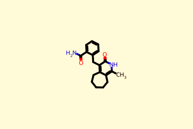 Cc1[nH]c(=O)c(Cc2ccccc2C(N)=O)c2c1CCCCC2